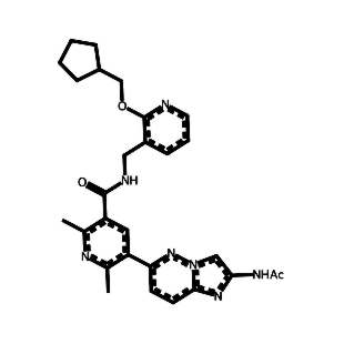 CC(=O)Nc1cn2nc(-c3cc(C(=O)NCc4cccnc4OCC4CCCC4)c(C)nc3C)ccc2n1